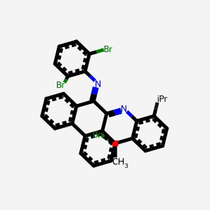 CC(C)c1cccc(C(C)Br)c1/N=C1/C(=N/c2c(Br)cccc2Br)c2ccccc2-c2ccccc21